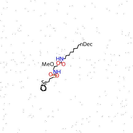 CCCCCCCCCCCCCCCCCCNC(=O)OCC(CNS(=O)(=O)CCC[Se]c1ccccc1)OC